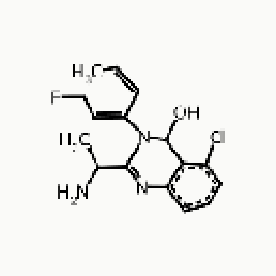 C/C=C\C(=C/CF)N1C([C@H](C)N)=Nc2cccc(Cl)c2C1O